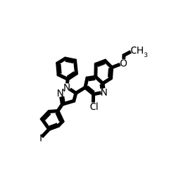 CCOc1ccc2cc(C3CC(c4ccc(I)cc4)=NN3c3ccccc3)c(Cl)nc2c1